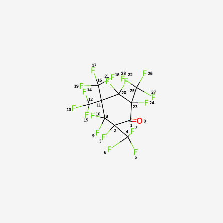 O=C1C(F)(C(F)(F)F)C(F)(F)C(C(F)(F)F)(C(F)(F)F)C(F)(F)C1(F)C(F)(F)F